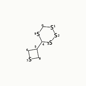 C1SSSC(C2CSC2)S1